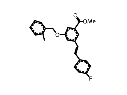 COC(=O)c1cc(/C=C/c2ccc(F)cc2)cc(OCc2ccccc2C)c1